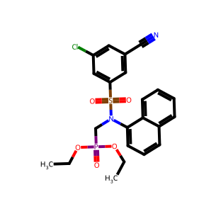 CCOP(=O)(CN(c1cccc2ccccc12)S(=O)(=O)c1cc(Cl)cc(C#N)c1)OCC